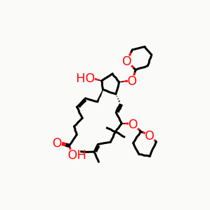 CC(C)=CCC(C)(C)[C@@H](/C=C/[C@@H]1[C@@H](C/C=C\CCCC(=O)O)[C@@H](O)C[C@H]1OC1CCCCO1)OC1CCCCO1